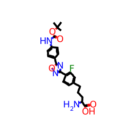 CC(C)(C)OC(=O)Nc1ccc(-c2nc(-c3ccc(CCCC(N)C(=O)O)cc3F)no2)cc1